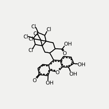 O=C(O)C1CC23C(Cl)C(Cl)C(Cl)C(Cl)C2(CC1c1c2ccc(=O)c(O)c-2oc2c(O)c(O)ccc12)C3(Cl)Cl